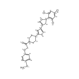 COc1ncc(OCC(=O)N2CCC(c3nc(C4=NOC(c5c(Cl)cc(Cl)cc5Cl)C4)cs3)CC2)cn1